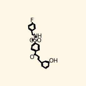 O=C(/C=C/c1cccc(O)c1)c1ccc(S(=O)(=O)NCc2ccc(F)cc2)cc1